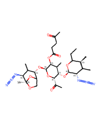 CCC1O[C@H](O[C@H]2C(C)[C@H](OC(=O)CCC(C)=O)[C@H](O[C@@H]3C4CO[C@H](O4)[C@@H](N=[N+]=[N-])C3C)O[C@H]2C(C)=O)[C@@H](N=[N+]=[N-])C(C)[C@@H]1C